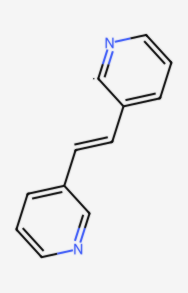 [c]1ncccc1C=Cc1cccnc1